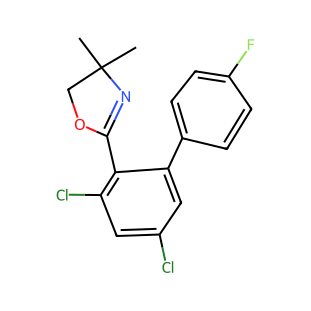 CC1(C)COC(c2c(Cl)cc(Cl)cc2-c2ccc(F)cc2)=N1